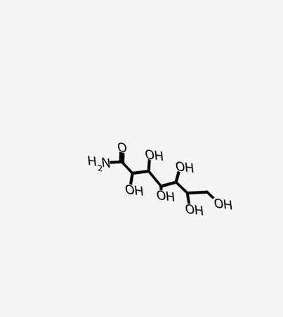 NC(=O)C(O)C(O)C(O)C(O)C(O)CO